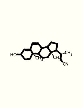 C[C@H](CC#N)C1CCC2C3C=CC4=CC(O)CC[C@]4(C)C3CC[C@@]21C